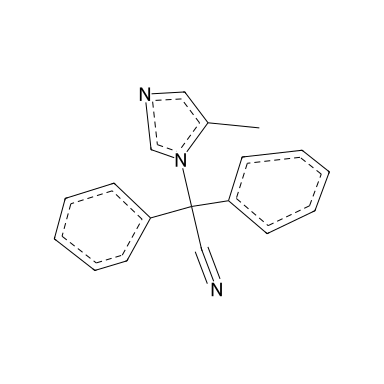 Cc1cncn1C(C#N)(c1ccccc1)c1ccccc1